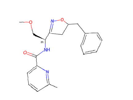 COC[C@H](NC(=O)c1cccc(C)n1)C1=NOC(Cc2ccccc2)C1